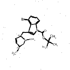 C[C@H]1C=C[C@@H](Cc2cn(C(=O)OC(C)(C)C)c3cccc(Br)c23)N(C)C1